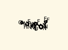 COc1nc(N[C@@H]2CN(C3COC3)CC2(F)F)nn2cc(F)c(-c3ccc4nnn(C5CC(F)(F)C5)c4c3)c12